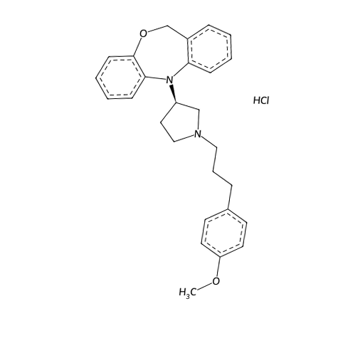 COc1ccc(CCCN2CC[C@@H](N3c4ccccc4COc4ccccc43)C2)cc1.Cl